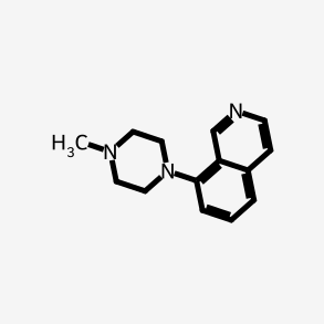 CN1CCN(c2cccc3ccncc23)CC1